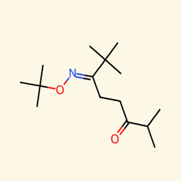 CC(C)C(=O)CC/C(=N\OC(C)(C)C)C(C)(C)C